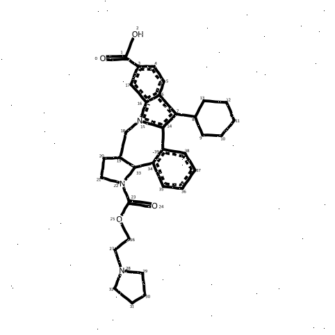 O=C(O)c1ccc2c(C3CCCCC3)c3n(c2c1)CC1CCN(C(=O)OCCN2CCCC2)C1c1ccccc1-3